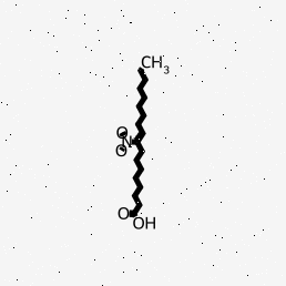 CCCCCCCC/C=C(/CCCCCCCC(=O)O)[N+](=O)[O-]